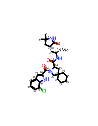 CN[C@H](C[C@@H]1CC(C)(C)NC1=O)NC(=O)C1CC2(CCCCC2)CN1C(=O)c1cc2cccc(Cl)c2[nH]1